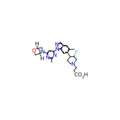 Cc1nc(N2C[C@@H]3C[C@H]2CO3)cc(-n2ncc3cc(C)c(C4CCN(CCC(=O)O)CC4F)cc32)n1